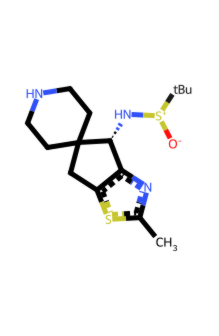 Cc1nc2c(s1)CC1(CCNCC1)[C@@H]2N[S+]([O-])C(C)(C)C